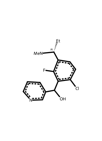 CC[C@@H](NC)c1ccc(Cl)c(C(O)c2cccnc2)c1F